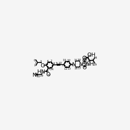 CC(C)COc1ccc(C#Cc2ccc(N3CCN(S(=O)(=O)NC(C(=O)O)C(C)C)CC3)cc2)cc1C(=O)NCC#N